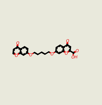 O=C(O)c1cc(=O)c2ccc(OCCCCCOc3ccc4c(=O)ccoc4c3)cc2o1